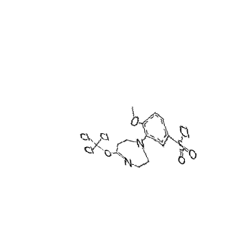 COc1ccc(S(=O)(=O)Cl)cc1N1CCN=C(OC(Cl)(Cl)Cl)CC1